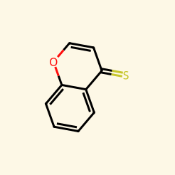 S=c1ccoc2ccccc12